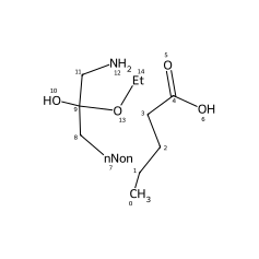 CCCCC(=O)O.CCCCCCCCCCC(O)(CN)OCC